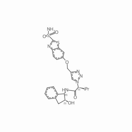 CC(C)[C@@H](C(=O)N[C@@H]1c2ccccc2C[C@@H]1O)n1cc(COc2ccc3nc(S(N)(=O)=O)sc3c2)nn1